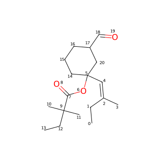 CC/C(C)=C\C1(OC(=O)C(C)(C)CC)CCCC(C=O)C1